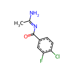 C/C(N)=N\C(=O)c1ccc(Cl)c(F)c1